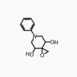 OC1CN(c2ccccc2)CC(O)C12CO2